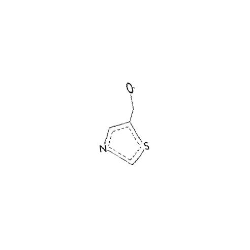 [O]c1cncs1